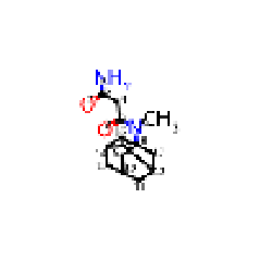 CN(C(=O)CC(N)=O)C12CC3CC(CC(C3)C1)C2